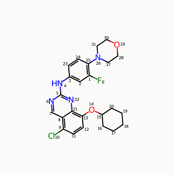 Fc1cc(Nc2ncc3c(Cl)ccc(OC4CCCCC4)c3n2)ccc1N1CCOCC1